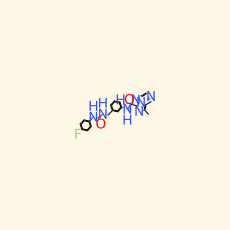 CC1=C2C=NC=C[N+]2(N)C(C(=O)Nc2cccc(CNC(=O)Nc3ccc(F)cc3)c2)=N1